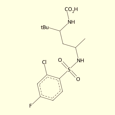 CC(CC(NC(=O)O)C(C)(C)C)NS(=O)(=O)c1ccc(F)cc1Cl